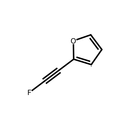 FC#Cc1[c]cco1